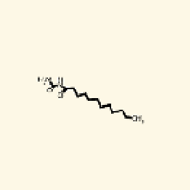 CCCCCCCCCCCC(=O)NC(N)=O